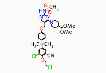 COC(OC)C1CCN(c2nc(NS(C)(=O)=O)ncc2COc2ccc(C(C)(C)c3cc(Cl)c(OCCCl)c(C#N)c3)cc2)CC1